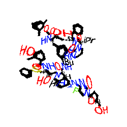 Cc1c(O)cccc1C(=O)N[C@@H](CSc1ccccc1)[C@H](O)CN1C[C@H]2CCCC[C@H]2C[C@H]1C(=O)NC(C)(C)C.Cc1cccc(C)c1OCC(=O)N[C@@H](Cc1ccccc1)[C@@H](O)C[C@H](Cc1ccccc1)NC(=O)[C@H](C(C)C)N1CCCNC1=O.Nc1nc(=O)n([C@H]2CC[C@@H](CO)O2)cc1F